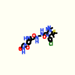 Cc1sc2c(c1C)C(c1ccc(Cl)cc1)=N[C@@H](CC(=O)NCCNC(=O)Cc1c[nH]c3cc(N4CCC(=O)NC4=O)ccc13)c1nnc(C)n1-2